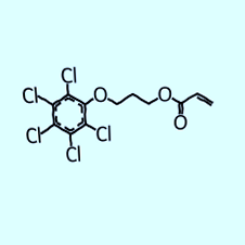 C=CC(=O)OCCCOc1c(Cl)c(Cl)c(Cl)c(Cl)c1Cl